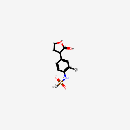 CCCCS(=O)(=O)Nc1ccc(C2CCOC2=O)cc1C#N